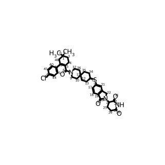 CC1(C)CCC(C(=O)N2CCC3(CCC(Sc4ccc5c(c4)CN(C4CCC(=O)NC4=O)C5=O)CC3)CC2)=C(c2ccc(Cl)cc2)C1